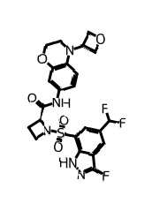 O=C(Nc1ccc2c(c1)OCCN2C1COC1)[C@@H]1CCN1S(=O)(=O)c1cc(C(F)F)cc2c(F)n[nH]c12